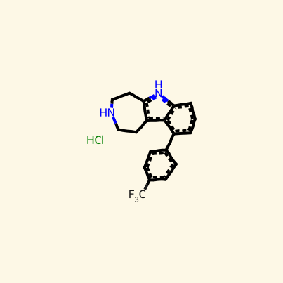 Cl.FC(F)(F)c1ccc(-c2cccc3[nH]c4c(c23)CCNCC4)cc1